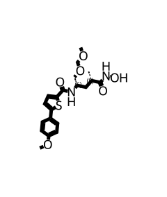 COCOC[C@H](C[C@H](C)C(=O)NO)NC(=O)c1ccc(-c2ccc(OC)cc2)s1